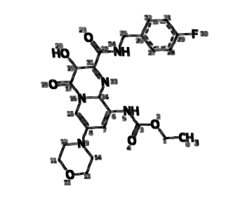 CCOC(=O)NC1=CC(N2CCOCC2)=CN2C(=O)C(O)C(C(=O)NCc3ccc(F)cc3)=NC12